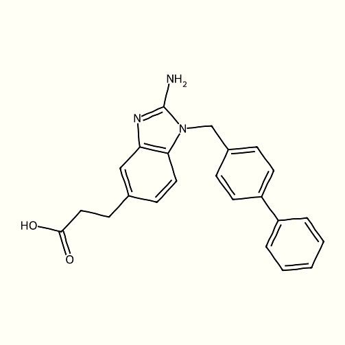 Nc1nc2cc(CCC(=O)O)ccc2n1Cc1ccc(-c2ccccc2)cc1